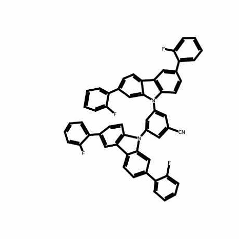 N#Cc1cc(-n2c3ccc(-c4ccccc4F)cc3c3ccc(-c4ccccc4F)cc32)cc(-n2c3ccc(-c4ccccc4F)cc3c3ccc(-c4ccccc4F)cc32)c1